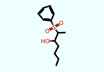 CCCCC(O)C(C)S(=O)(=O)c1ccccc1